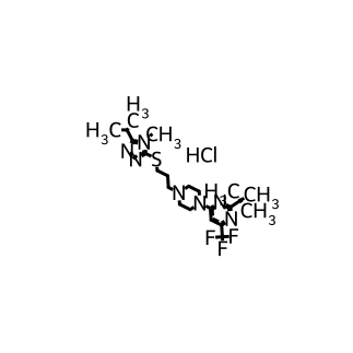 CC(C)c1nnc(SCCCN2CCN(c3cc(C(F)(F)F)nc(C(C)(C)C)n3)CC2)n1C.Cl